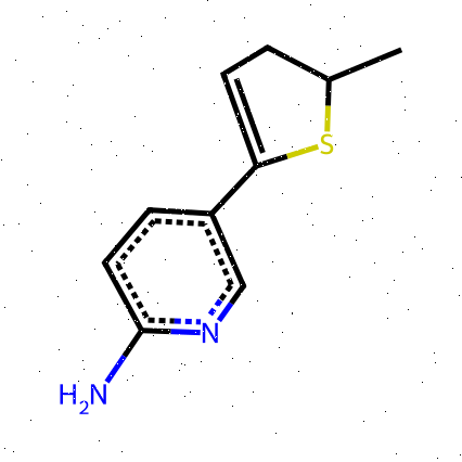 CC1CC=C(c2ccc(N)nc2)S1